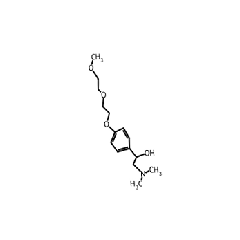 COCCOCCOc1ccc(C(O)CN(C)C)cc1